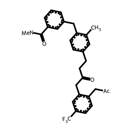 CNC(=O)c1cccc(Cc2ccc(CCC(=O)Cc3cc(C(F)(F)F)ccc3CC(C)=O)cc2C)c1